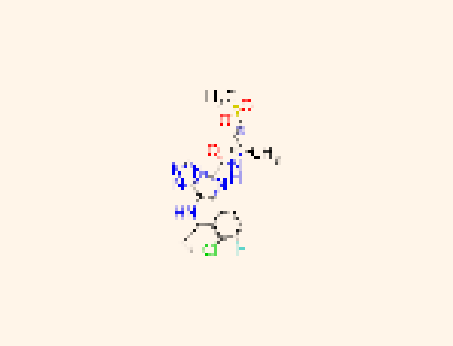 C[C@H](/C=C/S(C)(=O)=O)NC(=O)c1ncc(NC(c2cccc(F)c2Cl)C2CC2)c2nncn12